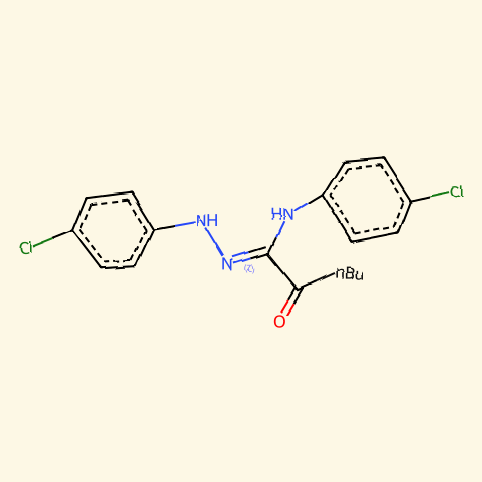 CCCCC(=O)/C(=N/Nc1ccc(Cl)cc1)Nc1ccc(Cl)cc1